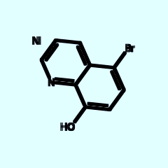 Oc1ccc(Br)c2cccnc12.[Ni]